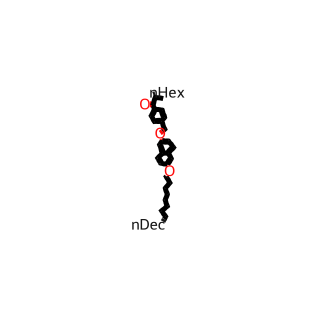 CCCCCCCCCCCCCCCCCCOc1ccc2cc(OCc3ccc(C(=O)[C@H](C)CCCCCC)cc3)ccc2c1